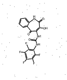 O=C(Nc1c(F)c(F)c(F)c(F)c1F)Nc1c(O)c(=O)[nH]c2ccccc2c1=O